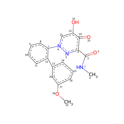 CNC(=O)c1nn(-c2ccccc2-c2cccc(OC)c2)cc(O)c1=O